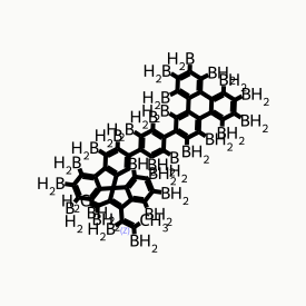 BC(=C)C1=C(/C(B)=C(/B)C)c2c(B)c(B)c(B)c(B)c2C12c1cc(-c3c(B)c(B)c(-c4c(B)c(B)c5c6c(B)c(B)c(B)c(B)c6c6c(B)c(B)c(B)c(B)c6c5c4B)c(B)c3B)c(B)c(B)c1-c1c(B)c(B)c(B)c(B)c12